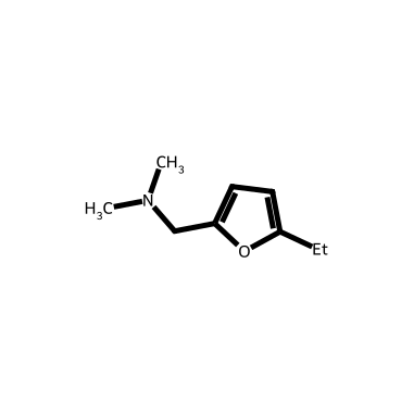 [CH2]Cc1ccc(CN(C)C)o1